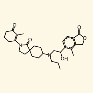 CCCN(C[C@H](O)c1ccc2c(c1C)COC2=O)C1CCC2(CC1)CCN(C1=C(C)C(=O)CCC1)C2=O